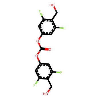 O=C(Oc1cc(F)c(CO)c(F)c1)Oc1cc(F)c(CO)c(F)c1